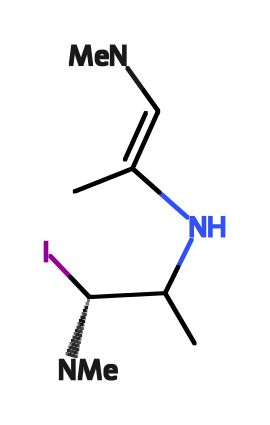 CN/C=C(\C)NC(C)[C@@H](I)NC